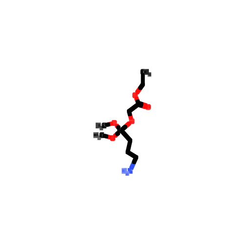 CCOC(=O)CO[Si](CCCN)(OC)OC